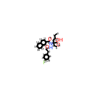 CCCCC(CC)(NC(=O)c1ccc2ccccc2c1OCCc1ccc(F)cc1)C(=O)O